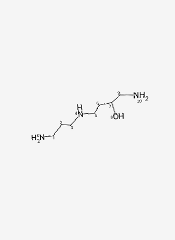 NCCCNCCC(O)CN